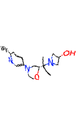 CC(C)c1ccc(N2CCO[C@@H](C(C)(C)N3CC(O)C3)C2)cn1